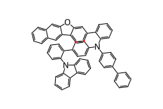 c1ccc(-c2ccc(N(c3ccc(-c4ccccc4-n4c5ccccc5c5ccccc54)cc3)c3ccccc3-c3ccc4c(c3)oc3cc5ccccc5cc34)cc2)cc1